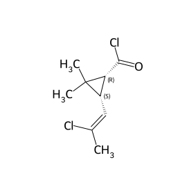 CC(Cl)=C[C@H]1[C@@H](C(=O)Cl)C1(C)C